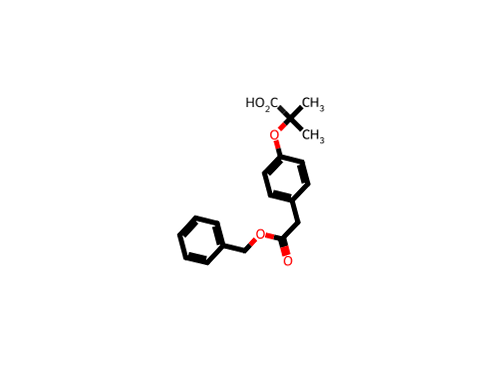 CC(C)(Oc1ccc(CC(=O)OCc2ccccc2)cc1)C(=O)O